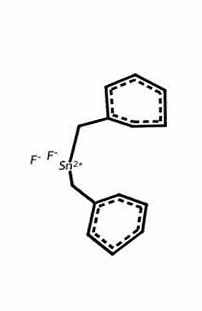 [F-].[F-].c1ccc([CH2][Sn+2][CH2]c2ccccc2)cc1